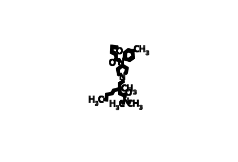 CCCCCC(C)(CCN1CCC(N(C(=O)c2ccco2)c2ccc(C)cc2)CC1)CC(=O)N(C)C